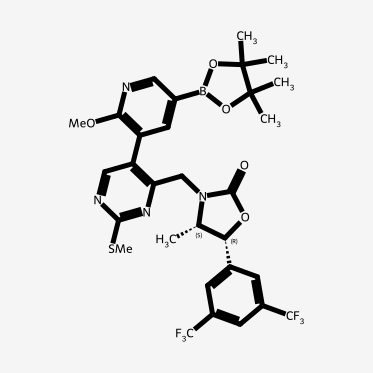 COc1ncc(B2OC(C)(C)C(C)(C)O2)cc1-c1cnc(SC)nc1CN1C(=O)O[C@H](c2cc(C(F)(F)F)cc(C(F)(F)F)c2)[C@@H]1C